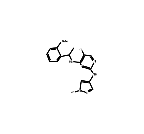 [CH2][C](Nc1nc(Nc2cnn(C(C)C)c2)ncc1Cl)c1ccccc1OC